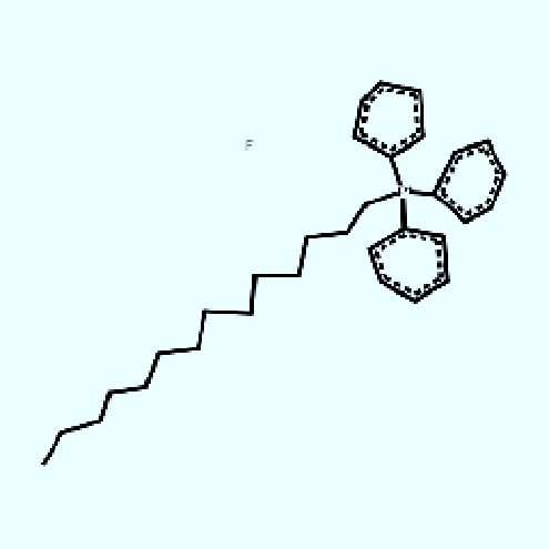 CCCCCCCCCCCCCC[P+](c1ccccc1)(c1ccccc1)c1ccccc1.[F-]